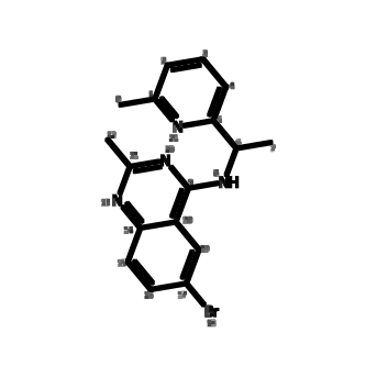 Cc1cccc(C(C)Nc2nc(C)nc3ccc(Br)cc23)n1